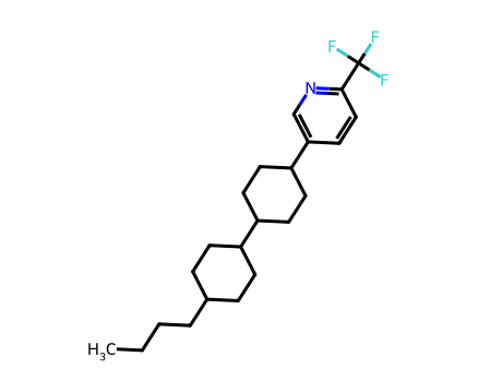 CCCCC1CCC(C2CCC(c3ccc(C(F)(F)F)nc3)CC2)CC1